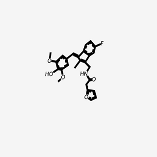 COc1cc(C=C2C(C)=C(CNC(=O)Cc3ccco3)c3cc(F)ccc32)cc(OC)c1O